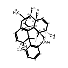 COc1cccc([N+](=O)[O-])c1C12O[C@H]3[C@@H](O)C=C[C@H]4[C@H]5CC(=C1[C@]43CCN5C)C=CC2O